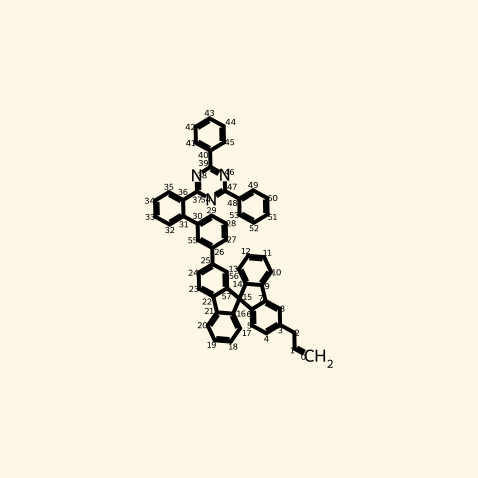 C=CCc1ccc2c(c1)-c1ccccc1C21c2ccccc2-c2ccc(-c3cccc(-c4ccccc4-c4nc(-c5ccccc5)nc(-c5ccccc5)n4)c3)cc21